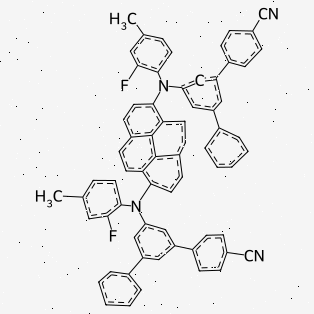 Cc1ccc(N(c2cc(-c3ccccc3)cc(-c3ccc(C#N)cc3)c2)c2ccc3ccc4c(N(c5cc(-c6ccccc6)cc(-c6ccc(C#N)cc6)c5)c5ccc(C)cc5F)ccc5ccc2c3c54)c(F)c1